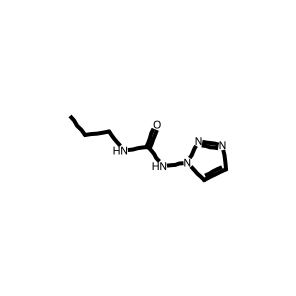 CCCNC(=O)Nn1ccnn1